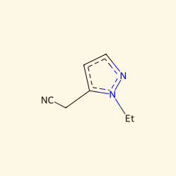 CCn1nccc1CC#N